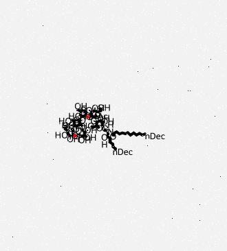 CCCCCCCCCCCCC/C=C/[C@@H](O)[C@H](CO[C@@H]1OC(CO)[C@@H](O[C@@H]2OC(CO)[C@H](O)[C@H](O[C@@H]3OC(CO)[C@@H](O)[C@H](O[C@@H]4OC(CO)[C@H](O)[C@H](O[C@H]5OC(CO)[C@H](O)[C@H](O)C5O)C4O[C@H]4OC(C)[C@@H](O)C(O)[C@@H]4O)C3NC(C)=O)C2O)[C@H](O)C1O)NC(=O)CCCCCCCCCCCCCCCCCCCCC